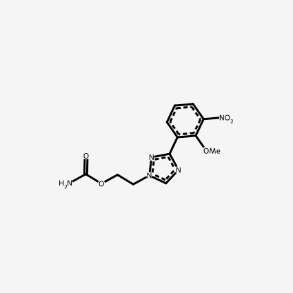 COc1c(-c2ncn(CCOC(N)=O)n2)cccc1[N+](=O)[O-]